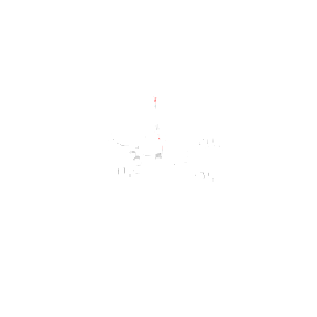 CCC(C)C[C@H]1O[C@@H](CC=O)[C@H](CC)[C@H]1C